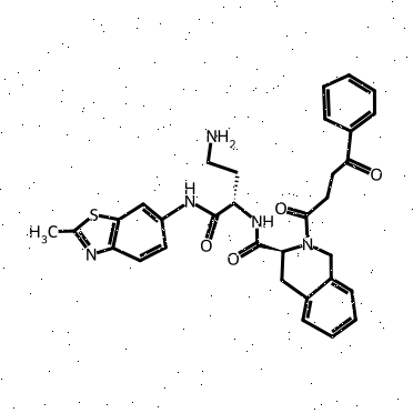 Cc1nc2ccc(NC(=O)[C@H](CCN)NC(=O)[C@@H]3Cc4ccccc4CN3C(=O)CCC(=O)c3ccccc3)cc2s1